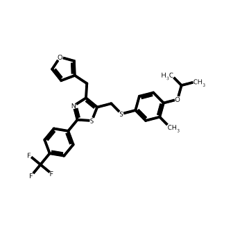 Cc1cc(SCc2sc(-c3ccc(C(F)(F)F)cc3)nc2Cc2ccoc2)ccc1OC(C)C